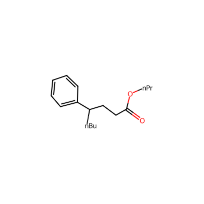 CCCCC(CCC(=O)OCCC)c1ccccc1